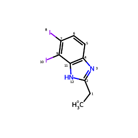 CCc1nc2ccc(I)c(I)c2[nH]1